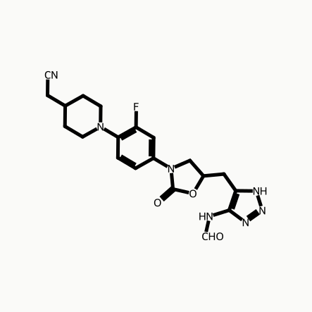 N#CCC1CCN(c2ccc(N3CC(Cc4[nH]nnc4NC=O)OC3=O)cc2F)CC1